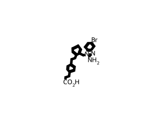 Nc1nc2cc(Br)ccc2n1Cc1ccccc1CCc1ccc(CCC(=O)O)cc1